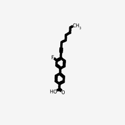 CCCCCCC#Cc1ccc(-c2ccc(C(=O)O)cc2)cc1F